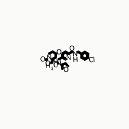 CN(Cc1cnc(C(=O)NCc2ccc(Cl)cc2)cc1O[C@H]1CCN2C(=O)OC[C@@H]2C1)[C@H]1CCOC1